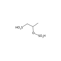 CC(CS(=O)(=O)O)OS(=O)(=O)O